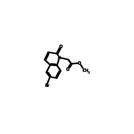 COC(=O)Cn1c(=O)ccc2cc(Br)ccc21